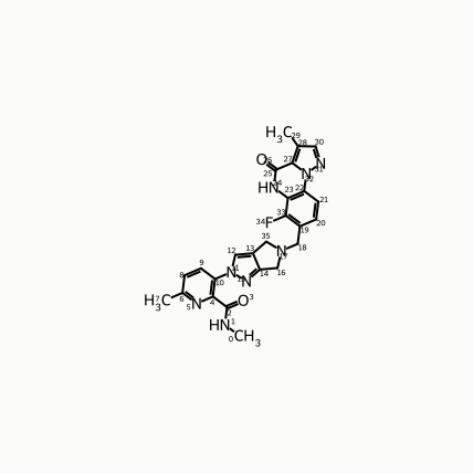 CNC(=O)c1nc(C)ccc1-n1cc2c(n1)CN(Cc1ccc3c([nH]c(=O)c4c(C)cnn43)c1F)C2